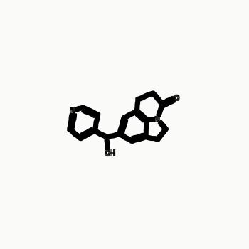 O=C1CCc2cc(C(O)c3ccncc3)cc3c2N1CC3